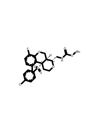 CC(C)(C)OC(=O)NC[C@@H]1OCC[C@@]2(S(=O)(=O)c3ccc(Cl)cc3)c3c(F)ccc(F)c3OC[C@@H]12